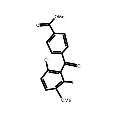 COC(=O)c1ccc(C(=O)c2c(O)ccc(OC)c2F)cc1